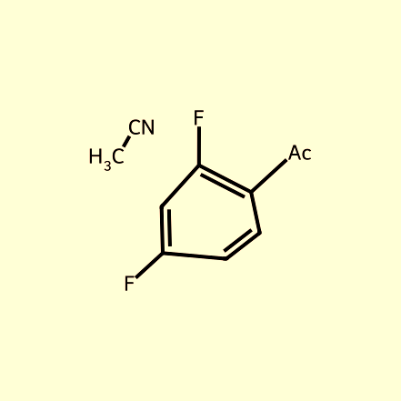 CC#N.CC(=O)c1ccc(F)cc1F